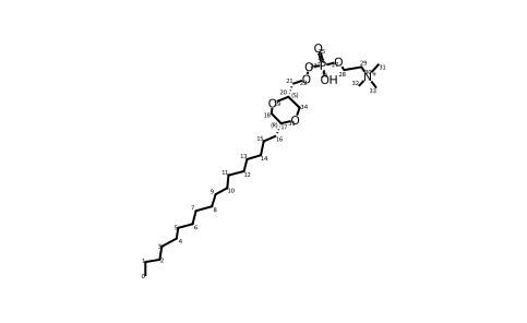 CCCCCCCCCCCCCCCCC[C@@H]1CO[C@H](COOP(=O)(O)OCC[N+](C)(C)C)CO1